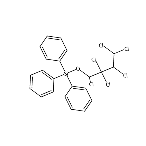 ClC(Cl)C(Cl)C(Cl)(Cl)C(Cl)O[Si](c1ccccc1)(c1ccccc1)c1ccccc1